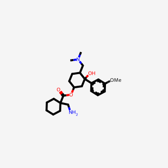 COc1cccc(C2(O)CC(OC(=O)C3(CN)CCCCC3)CCC2CN(C)C)c1